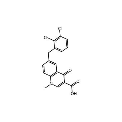 Cn1cc(C(=O)O)c(=O)c2cc(Cc3cccc(Cl)c3Cl)ccc21